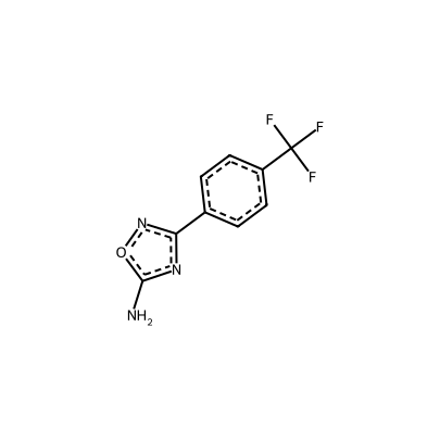 Nc1nc(-c2ccc(C(F)(F)F)cc2)no1